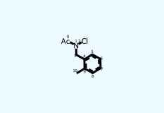 CC(=O)N(Cl)Cc1ccccc1C